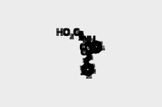 O=C(O)CCNC(=O)C1C2CCC(CC2)N1C(=O)CCc1ccccc1